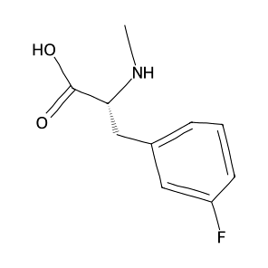 CN[C@H](Cc1cccc(F)c1)C(=O)O